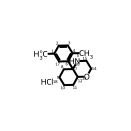 Cc1ccc(C)c(C23CCCCC2OCCN3)c1.Cl